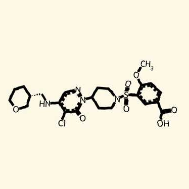 COc1ccc(C(=O)O)cc1S(=O)(=O)N1CCC(n2ncc(NC[C@H]3CCCOC3)c(Cl)c2=O)CC1